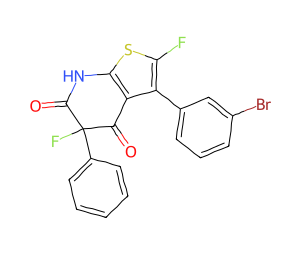 O=C1Nc2sc(F)c(-c3cccc(Br)c3)c2C(=O)C1(F)c1ccccc1